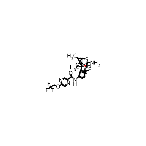 CC1C2[C@@]1(C(=O)NC1CC1)SC(N)=N[C@]2(C)c1cc(NC(=O)c2cnc(OCC(F)(F)F)cn2)ccc1F